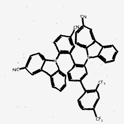 N#Cc1ccc(-n2c3ccccc3c3cc(C#N)ccc32)c(-c2ccc(-c3ccc(C(F)(F)F)cc3C(F)(F)F)cc2-n2c3ccccc3c3cc(C#N)ccc32)c1